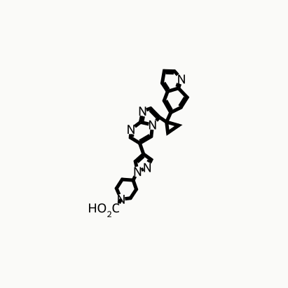 O=C(O)N1CCC(n2cc(-c3cnc4ncc(C5(c6ccc7ncccc7c6)CC5)n4c3)cn2)CC1